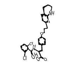 O=C(NC(Cc1ccc(OCCCc2ccc3c(n2)NCCC3)cc1)C(=O)O)c1c(Cl)cccc1Cl